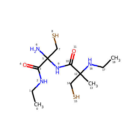 CCNC(=O)C(N)(CS)NC(=O)C(C)(CS)NCC